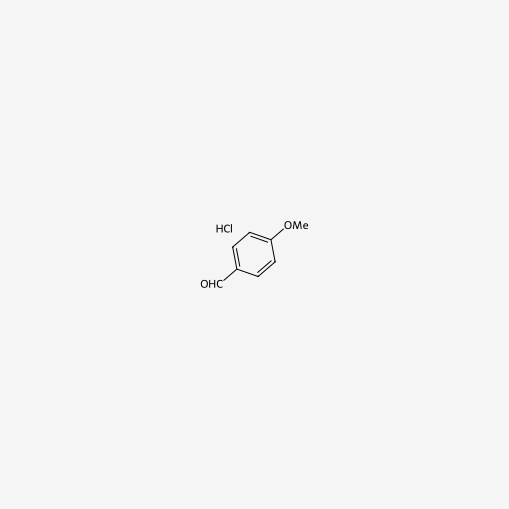 COc1ccc(C=O)cc1.Cl